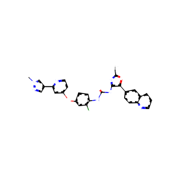 CC(C)c1nc(NC(=O)Nc2ccc(Oc3ccnc(-c4cnn(C)c4)c3)cc2F)c(-c2ccc3ncccc3c2)o1